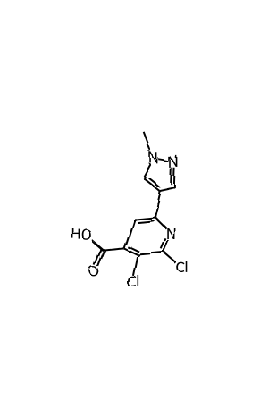 Cn1cc(-c2cc(C(=O)O)c(Cl)c(Cl)n2)cn1